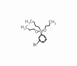 CCCC[Si](OCCC)(OCCC)c1cccc(Br)c1